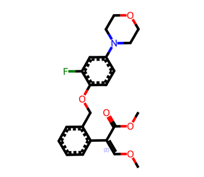 CO/C=C(\C(=O)OC)c1ccccc1COc1ccc(N2CCOCC2)cc1F